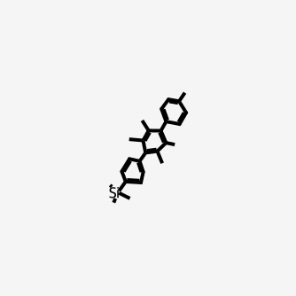 Cc1ccc(-c2c(C)c(C)c(-c3ccc([Si](C)(C)C)cc3)c(C)c2C)cc1